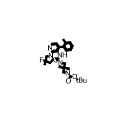 Cc1ccccc1-c1ccnc(N2CCC(C)(F)C2)c1NC(=O)N1CC2(C1)CN(C(=O)OC(C)(C)C)C2